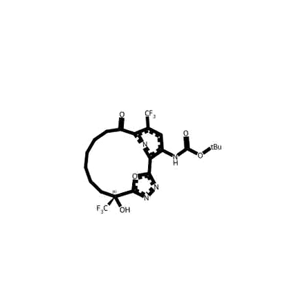 CC(C)(C)OC(=O)Nc1cc(C(F)(F)F)c2nc1-c1nnc(o1)[C@@](O)(C(F)(F)F)CCCCCCC2=O